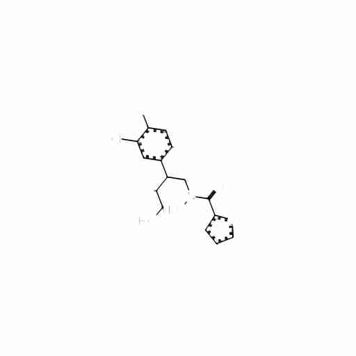 CN(CC(CCO)c1ccc(Cl)c(Cl)c1)C(=O)c1cccs1